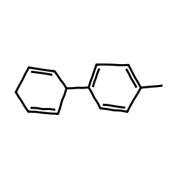 Cc1ccc(C2C=CCC=C2)cc1